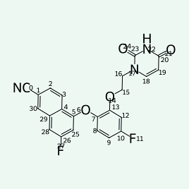 N#Cc1ccc2c(Oc3ccc(F)cc3OCCn3ccc(=O)[nH]c3=O)cc(F)cc2c1